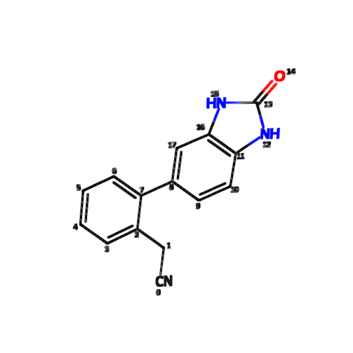 N#CCc1ccccc1-c1ccc2[nH]c(=O)[nH]c2c1